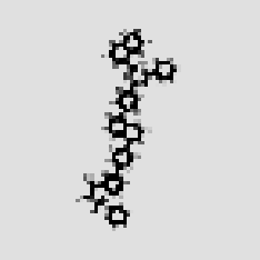 C=CN(c1ccccc1)c1ccc(-c2ccc(-c3cccc4c(-c5ccc(-c6nc(-c7ccccc7)nc(-c7cccc8ccccc78)n6)cc5)cccc34)cc2)cc1C(C)CC